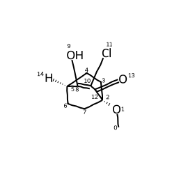 CO[C@]12CC[C@H](CC1)C(O)=C(Cl)C2=O